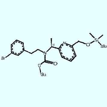 C[C@@H](c1cccc(CO[Si](C)(C)C(C)(C)C)n1)N(CCc1cccc(Br)c1)C(=O)OC(C)(C)C